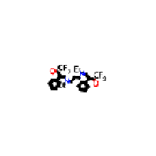 CCN(/C=C(/C(=O)C(F)(F)F)c1ccccc1)CCCN(/C=C(/C(=O)C(F)(F)F)c1ccccc1)CC